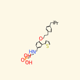 CC(C)Cc1ccc(CCCOc2ccc(CNCCCP(=O)(O)O)cc2-c2cccs2)cc1